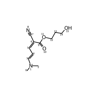 CN(C)/C=C/C=C(/C#N)C(=O)OCCCO